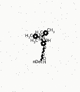 CCCCCCCCCCCC(O)COCCCOc1ccc(-c2nc(-c3ccc(C)cc3C)nc(-c3ccc(C)cc3C)n2)c(O)c1